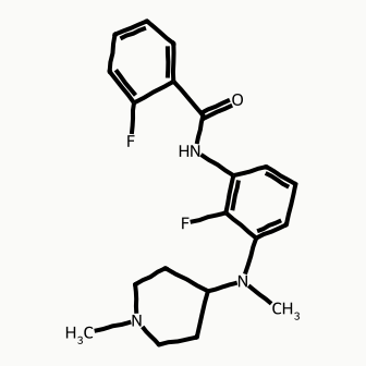 CN1CCC(N(C)c2cccc(NC(=O)c3ccccc3F)c2F)CC1